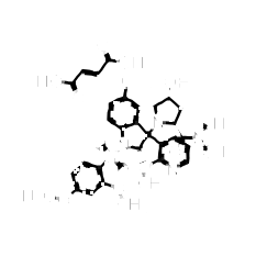 COc1ccc(S(=O)(=O)N2C(=O)C(c3cccnc3OC)(N3C[C@H](O)C[C@H]3C(=O)N(C)C)c3cc(C)ccc32)c(OC)c1.O=C(O)/C=C/C(=O)O